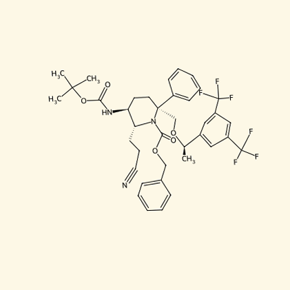 C[C@@H](OC[C@@]1(c2ccccc2)CC[C@H](NC(=O)OC(C)(C)C)[C@@H](CCC#N)N1C(=O)OCc1ccccc1)c1cc(C(F)(F)F)cc(C(F)(F)F)c1